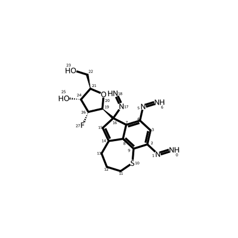 N=Nc1cc(N=N)c2c3c1SCCCC3=CC2(N=N)[C@@H]1O[C@H](CO)[C@@H](O)[C@H]1F